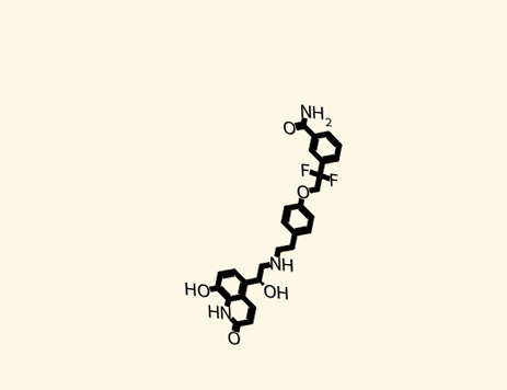 NC(=O)c1cccc(C(F)(F)COc2ccc(CCNC[C@@H](O)c3ccc(O)c4[nH]c(=O)ccc34)cc2)c1